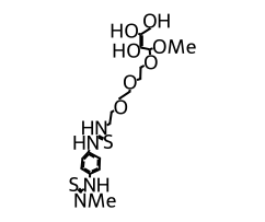 CNC(=S)Nc1ccc(NC(=S)NCCOCCOCCOC(OC)/C(O)=C(/O)CO)cc1